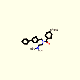 CCCCCc1ccc(C(=O)N(CCN(CCCC)CCCC)Cc2ccc(-c3ccccc3)cc2)cc1